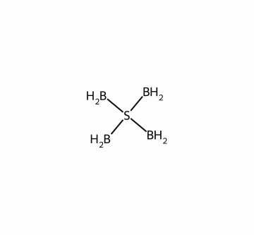 BS(B)(B)B